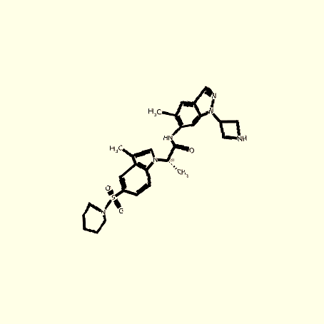 Cc1cc2cnn(C3CNC3)c2cc1NC(=O)[C@H](C)n1cc(C)c2cc(S(=O)(=O)N3CCCCC3)ccc21